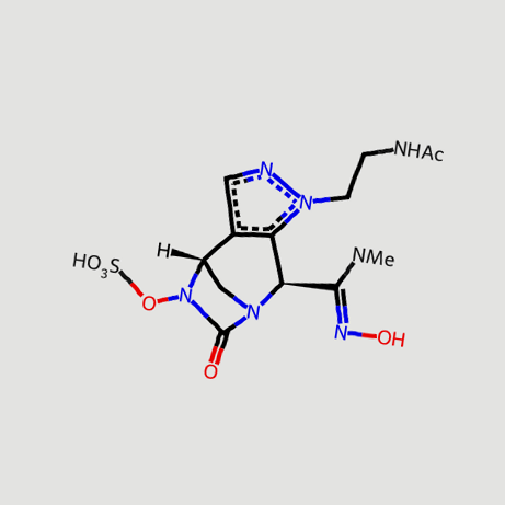 CN/C(=N\O)[C@@H]1c2c(cnn2CCNC(C)=O)[C@@H]2CN1C(=O)N2OS(=O)(=O)O